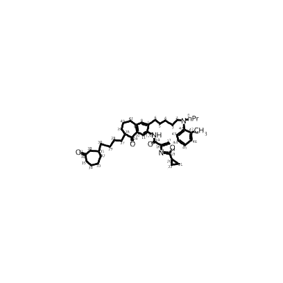 CCCN(CCCCCc1cc2c(cc1NC(=O)c1coc(C3CC3)n1)C(=O)C(CCCCC1CCCCC(=O)C1)CCC2)c1ccccc1C